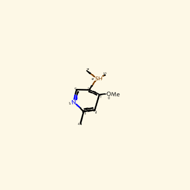 COc1cc(C)ncc1[SH](C)C